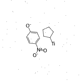 O=[N+]([O-])c1ccc([O-])cc1.[Ti][CH]1CCCC1